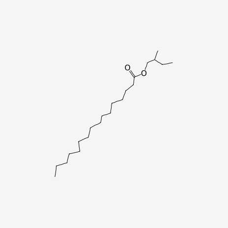 CCCCCCCCCCCCCCCC(=O)OCC(C)CC